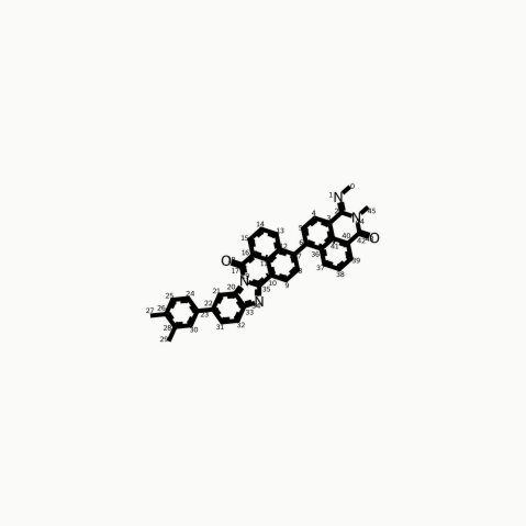 C/N=C1/c2ccc(-c3ccc4c5c3cccc5c(=O)n3c5cc(-c6ccc(C)c(C)c6)ccc5nc43)c3cccc(c23)C(=O)N1C